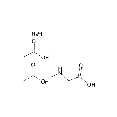 CC(=O)O.CC(=O)O.CNCC(=O)O.[NaH]